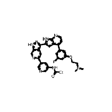 CCC(=O)Nc1cncc(-c2cc3c(-c4cc5c(-c6cc(F)cc(OCCN(C)C)c6)ccnc5[nH]4)n[nH]c3cn2)c1